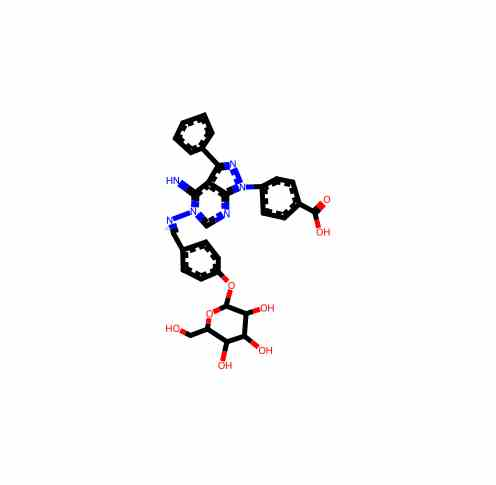 N=c1c2c(-c3ccccc3)nn(-c3ccc(C(=O)O)cc3)c2ncn1/N=C\c1ccc(OC2OC(CO)C(O)C(O)C2O)cc1